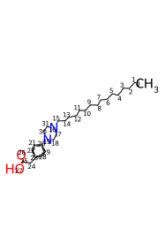 CCCCCCCCCCCCCCCCN1CCN(c2ccc(CC(=O)O)cc2)CC1